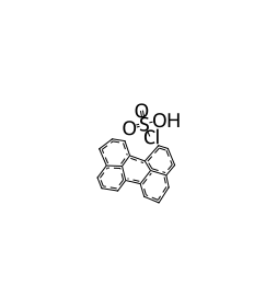 O=S(=O)(O)Cl.c1cc2cccc3c4cccc5cccc(c(c1)c23)c54